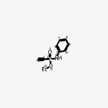 C#CP(=O)(Nc1ccccc1)OCC